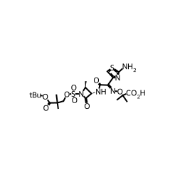 C[C@H]1[C@H](NC(=O)/C(=N/OC(C)(C)C(=O)O)c2csc(N)n2)C(=O)N1S(=O)(=O)OCC(C)(C)C(=O)OC(C)(C)C